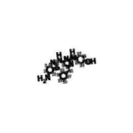 Nc1ccc2nc(Nc3cc(Cc4ccccc4)nc([AsH]C4CCC(O)CC4)n3)sc2c1